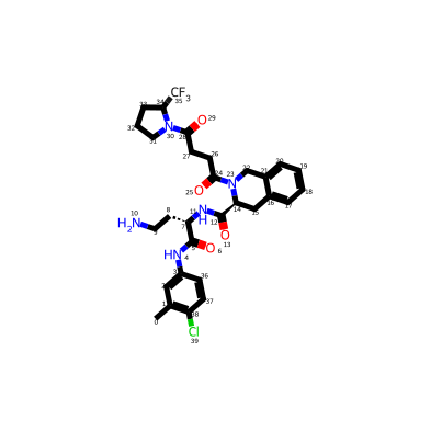 Cc1cc(NC(=O)[C@H](CCN)NC(=O)[C@@H]2Cc3ccccc3CN2C(=O)CCC(=O)N2CCCC2C(F)(F)F)ccc1Cl